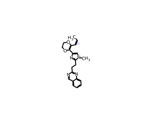 C/C=C\C1=C(c2cn(C)c(CCc3ncc4ccccc4n3)n2)OCCO1